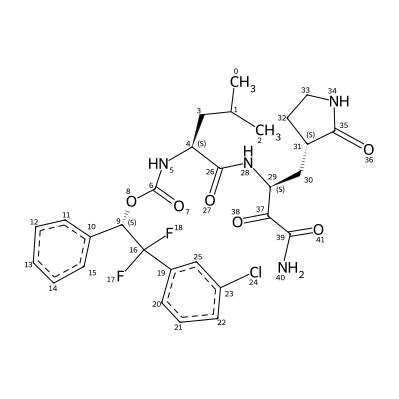 CC(C)C[C@H](NC(=O)O[C@@H](c1ccccc1)C(F)(F)c1cccc(Cl)c1)C(=O)N[C@@H](C[C@@H]1CCNC1=O)C(=O)C(N)=O